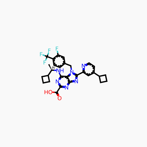 C[C@@H](Nc1nc(C(=O)O)nc2nc(-c3cc(C4CCC4)ccn3)n(Cc3ccc(C(F)(F)F)c(F)c3)c12)C1CCC1